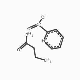 CCCC(N)=O.O=[N+]([O-])c1ccccn1